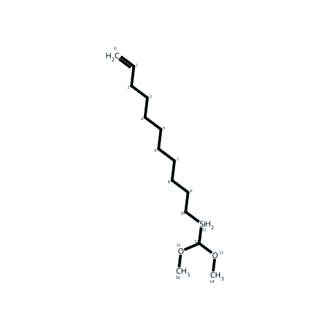 C=CCCCCCCCCC[SiH2]C(OC)OC